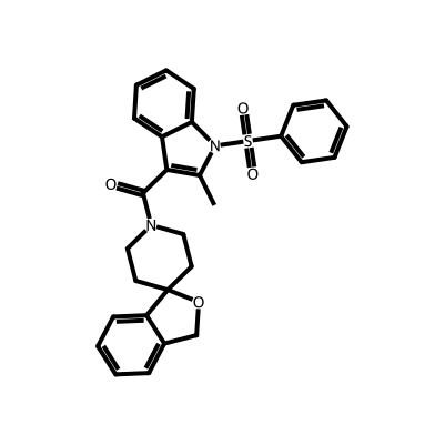 Cc1c(C(=O)N2CCC3(CC2)OCc2ccccc23)c2ccccc2n1S(=O)(=O)c1ccccc1